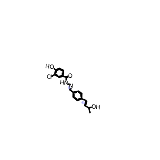 CC(O)/C=C/c1ccc(/C=N/NC(=O)c2ccc(O)c(Cl)c2)cc1